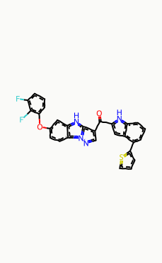 O=C(c1cc2c(-c3cccs3)cccc2[nH]1)c1cnn2c1[nH]c1cc(Oc3cccc(F)c3F)ccc12